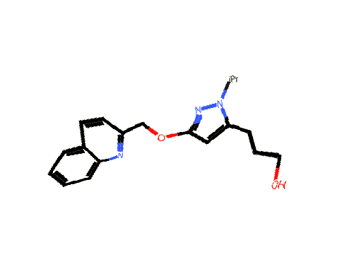 CC(C)n1nc(OCc2ccc3ccccc3n2)cc1CCCO